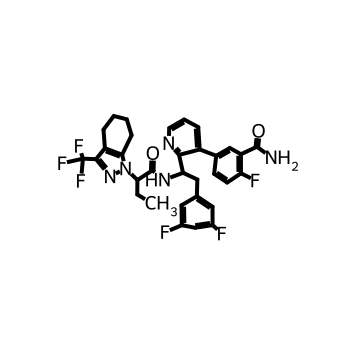 CCC(C(=O)NC(Cc1cc(F)cc(F)c1)c1ncccc1-c1ccc(F)c(C(N)=O)c1)n1nc(C(F)(F)F)c2c1CCCC2